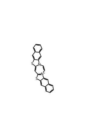 C1=C[n+]2c(sc3cc4ccccc4cc32)C=C2Sc3cc4ccccc4cc3N12